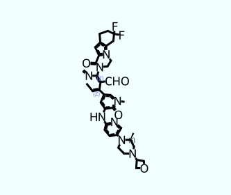 C=N/C(=C(C=O)\C(=C/C)c1cc(Nc2ccc(N3CCN(C4COC4)C[C@@H]3C)cn2)c(=O)n(C)c1)N1CCn2c(cc3c2CC(F)(F)CC3)C1=O